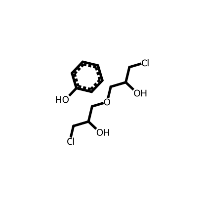 OC(CCl)COCC(O)CCl.Oc1ccccc1